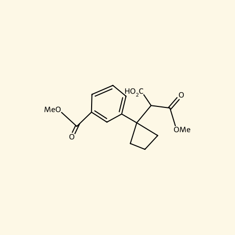 COC(=O)c1cccc(C2(C(C(=O)O)C(=O)OC)CCC2)c1